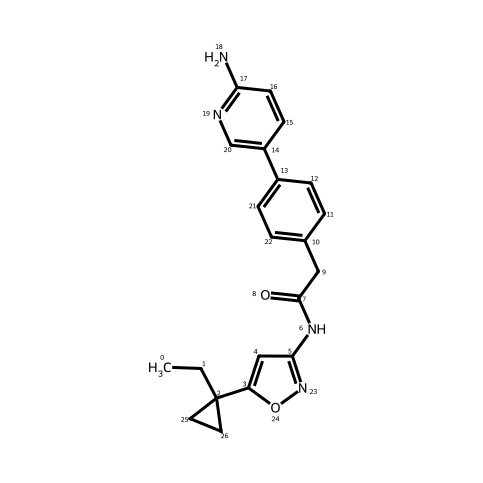 CCC1(c2cc(NC(=O)Cc3ccc(-c4ccc(N)nc4)cc3)no2)CC1